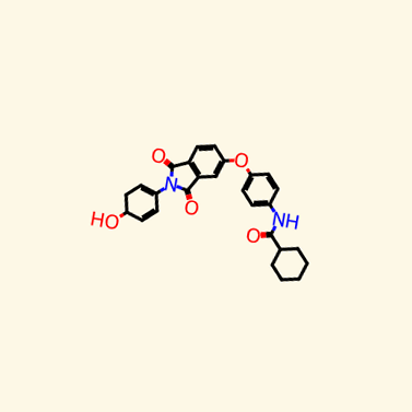 O=C(Nc1ccc(Oc2ccc3c(c2)C(=O)N(C2=CCC(O)C=C2)C3=O)cc1)C1CCCCC1